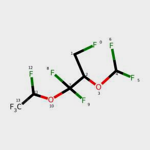 FCC(OC(F)F)C(F)(F)OC(F)C(F)(F)F